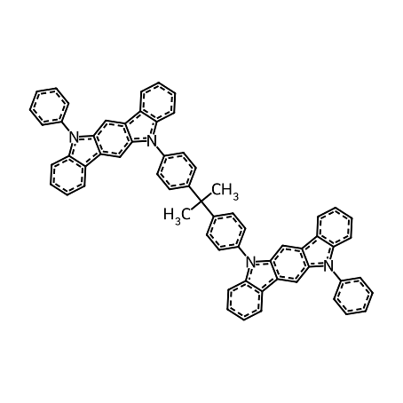 CC(C)(c1ccc(-n2c3ccccc3c3cc4c(cc32)c2ccccc2n4-c2ccccc2)cc1)c1ccc(-n2c3ccccc3c3cc4c(cc32)c2ccccc2n4-c2ccccc2)cc1